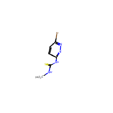 O=C(O)NC(=S)Nc1ccc(Br)nn1